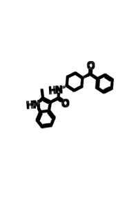 Cc1[nH]c2ccccc2c1C(=O)N[C@H]1CC[C@H](C(=O)c2ccccc2)CC1